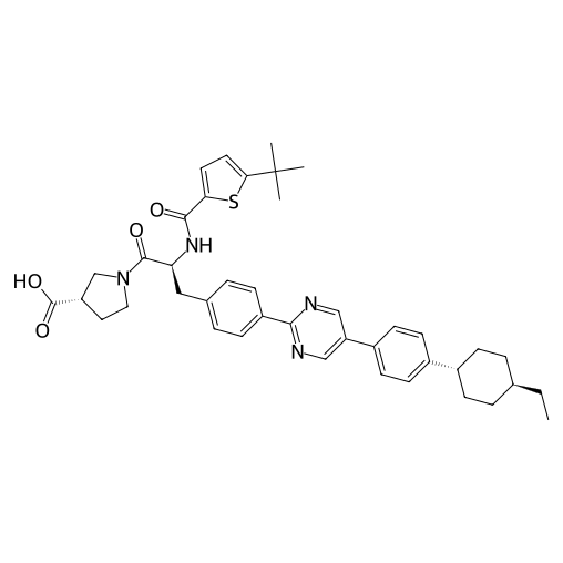 CC[C@H]1CC[C@H](c2ccc(-c3cnc(-c4ccc(C[C@H](NC(=O)c5ccc(C(C)(C)C)s5)C(=O)N5CC[C@H](C(=O)O)C5)cc4)nc3)cc2)CC1